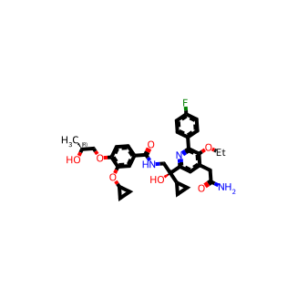 CCOc1c(CC(N)=O)cc([C@@](O)(CNC(=O)c2ccc(OC[C@@H](C)O)c(OC3CC3)c2)C2CC2)nc1-c1ccc(F)cc1